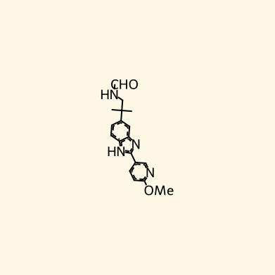 COc1ccc(-c2nc3cc(C(C)(C)CNC=O)ccc3[nH]2)cn1